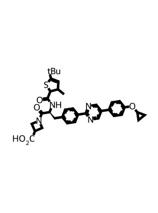 CC1C=C(C(C)(C)C)SC1C(=O)N[C@@H](Cc1ccc(-c2ncc(-c3ccc(OC4CC4)cc3)cn2)cc1)C(=O)N1CC(C(=O)O)C1